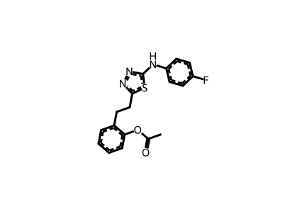 CC(=O)Oc1ccccc1CCc1nnc(Nc2ccc(F)cc2)s1